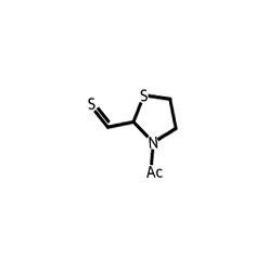 CC(=O)N1CCSC1C=S